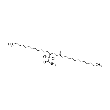 CCCCCCCCCCCCNCCN(CCCCCCCCCCCC)C(Cl)(Cl)C(N)=O